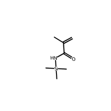 C=C(C)C(=O)N[Si](C)(C)C